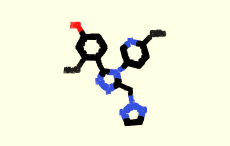 COc1ccc(-n2c(Cn3nccn3)nnc2-c2ccc(O)cc2OC)cn1